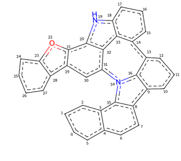 c1ccc2c(c1)ccc1c3cccc4c5cccc6[nH]c7c8oc9ccccc9c8cc(c7c65)n(c21)c43